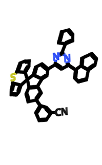 N#Cc1cccc(-c2ccc3c(c2)-c2cc(-c4cc(-c5cccc6ccccc56)nc(-c5ccccc5)n4)ccc2C32c3ccccc3Sc3ccccc32)c1